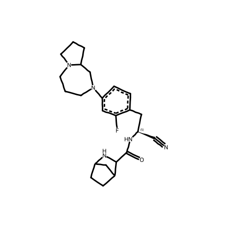 N#C[C@H](Cc1ccc(N2CCCN3CCCC3C2)cc1F)NC(=O)C1NC2CCC1C2